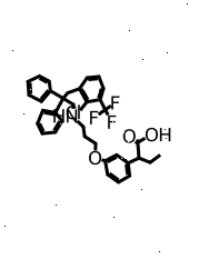 CCC(C(=O)O)c1cccc(OCCCNCC(Cc2cccc(C(F)(F)F)c2Cl)(c2ccccc2)c2ccccc2)c1